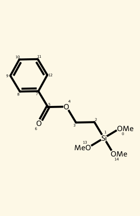 CO[Si](CCOC(=O)c1ccccc1)(OC)OC